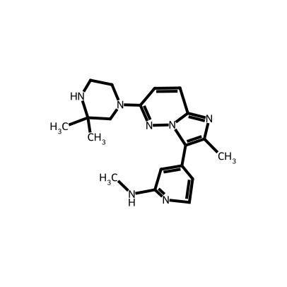 CNc1cc(-c2c(C)nc3ccc(N4CCNC(C)(C)C4)nn23)ccn1